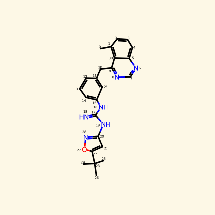 Cc1cccc2ncnc(Cc3cccc(NC(=N)Nc4cc(C(C)(C)C)on4)c3)c12